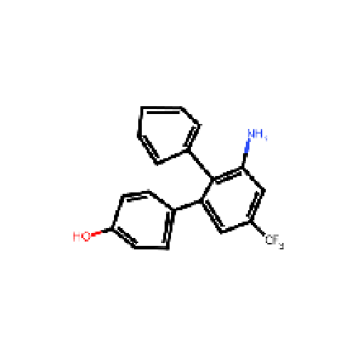 Nc1cc(C(F)(F)F)cc(-c2ccc(O)cc2)c1-c1ccccc1